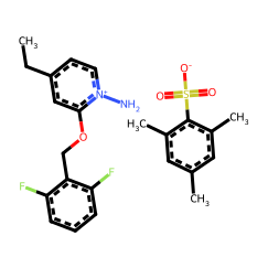 CCc1cc[n+](N)c(OCc2c(F)cccc2F)c1.Cc1cc(C)c(S(=O)(=O)[O-])c(C)c1